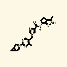 Cc1nc(N2CC3CC3C2)ncc1Cn1cnc(C(=O)N[C@@H]2CCc3c2n[nH]c3C)c1